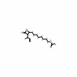 C=CC(C)C1C(=O)OC1CCCCCCCCOC(C)=O